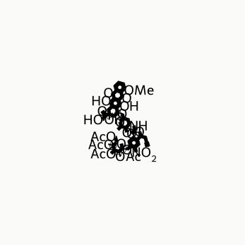 C#CCC(OC(=O)NC1CC(O[C@H]2C[C@](O)(C(=O)CO)Cc3c(O)c4c(c(O)c32)C(=O)c2c(OC)cccc2C4=O)OC(C)C1O)c1ccc(O[C@@H]2OC(COC(C)=O)[C@H](OC(C)=O)C(OC(C)=O)[C@@H]2OC(C)=O)c([N+](=O)[O-])c1